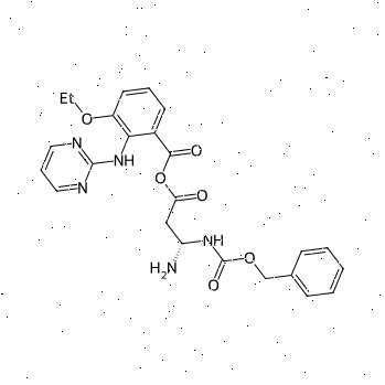 CCOc1cccc(C(=O)OC(=O)C[C@@H](N)NC(=O)OCc2ccccc2)c1Nc1ncccn1